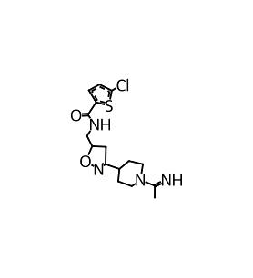 CC(=N)N1CCC(C2=NOC(CNC(=O)c3ccc(Cl)s3)C2)CC1